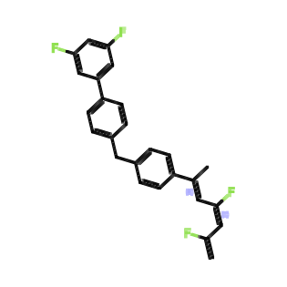 C=C(F)/C=C(F)\C=C(/C)c1ccc(Cc2ccc(-c3cc(F)cc(F)c3)cc2)cc1